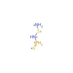 NSN[PH2]=S